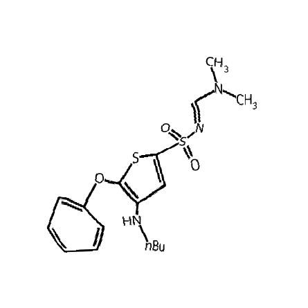 CCCCNc1cc(S(=O)(=O)N=CN(C)C)sc1Oc1ccccc1